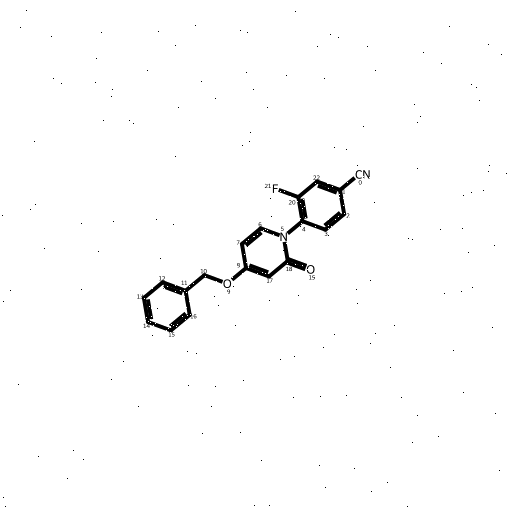 N#Cc1ccc(-n2ccc(OCc3ccccc3)cc2=O)c(F)c1